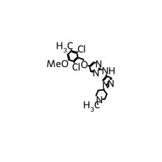 COc1cc(C)c(Cl)c(COc2cnc(Nc3cnn(C4CCN(C)CC4)c3)nc2)c1Cl